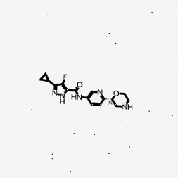 O=C(Nc1ccc([C@H]2CNCCO2)nc1)c1[nH]nc(C2CC2)c1F